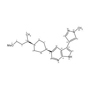 COCCN(C)[C@H]1CC[C@@H](c2cnc3[nH]cc(-c4cnn(C)c4)c3c2)CC1